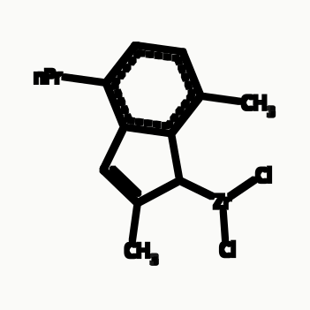 CCCc1ccc(C)c2c1C=C(C)[CH]2[Zr]([Cl])[Cl]